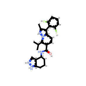 Cc1nn2c(C(C)C)c(C(=O)NC3CCCc4[nH]ncc43)ccc2c1-c1c(F)cccc1F